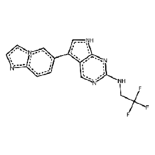 FC(F)(F)CNc1ncc2c(-c3ccc4nccn4c3)c[nH]c2n1